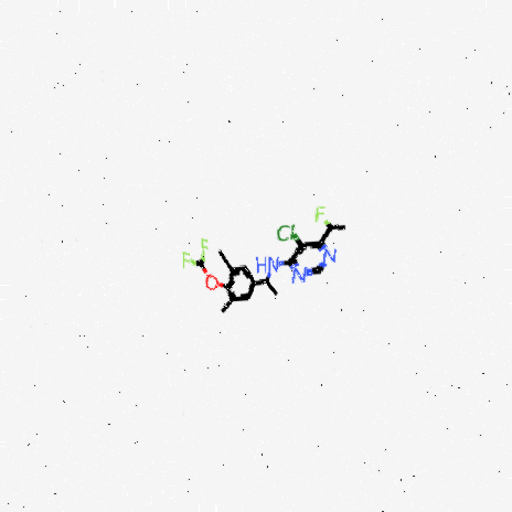 Cc1cc(C(C)Nc2ncnc(C(C)F)c2Cl)cc(C)c1OC(F)F